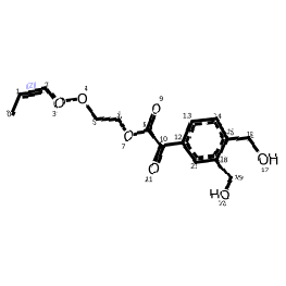 C/C=C\OOCCOC(=O)C(=O)c1ccc(CO)c(CO)c1